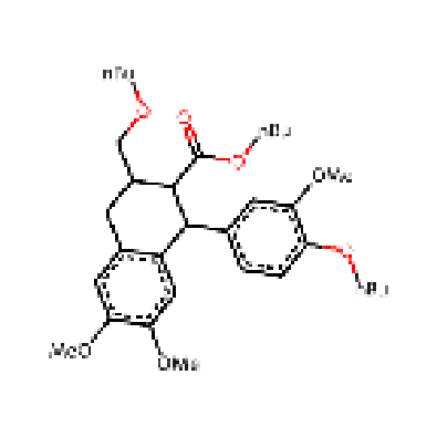 CCCCOCC1Cc2cc(OC)c(OC)cc2C(c2ccc(OCCCC)c(OC)c2)C1C(=O)OCCCC